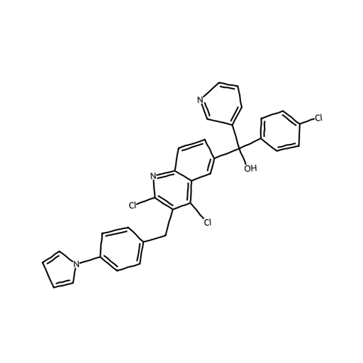 OC(c1ccc(Cl)cc1)(c1cccnc1)c1ccc2nc(Cl)c(Cc3ccc(-n4cccc4)cc3)c(Cl)c2c1